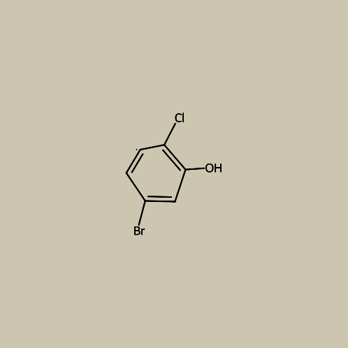 Oc1cc(Br)c[c]c1Cl